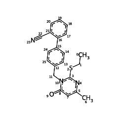 CCSc1nc(C)cc(=O)n1Cc1ccc(-c2ccccc2C#N)cc1